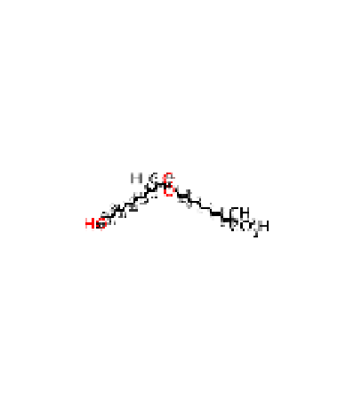 CC(CCCCCCCCCCOC(=O)C(C)CCCCCCCCCCO)C(=O)O